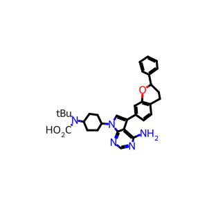 CC(C)(C)N(C(=O)O)C1CCC(n2cc(-c3ccc4c(c3)OC(c3ccccc3)CC4)c3c(N)ncnc32)CC1